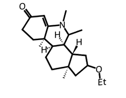 CCOC1C[C@H]2[C@@H]3C(C)N(C)C4=CC(=O)CC[C@]4(C)[C@@H]3CC[C@]2(C)C1